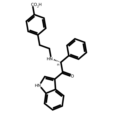 O=C(O)c1ccc(CCN[C@@H](C(=O)c2c[nH]c3ccccc23)c2ccccc2)cc1